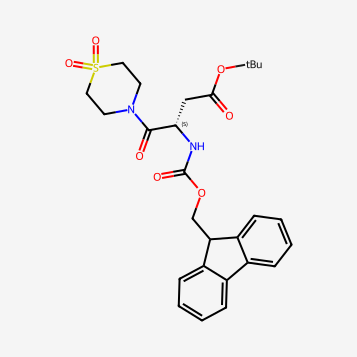 CC(C)(C)OC(=O)C[C@H](NC(=O)OCC1c2ccccc2-c2ccccc21)C(=O)N1CCS(=O)(=O)CC1